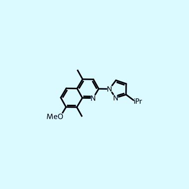 COc1ccc2c(C)cc(-n3ccc(C(C)C)n3)nc2c1C